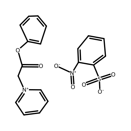 O=C(C[n+]1ccccc1)Oc1ccccc1.O=[N+]([O-])c1ccccc1S(=O)(=O)[O-]